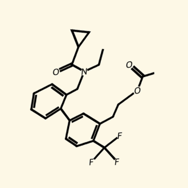 CCN(Cc1ccccc1-c1ccc(C(F)(F)F)c(CCOC(C)=O)c1)C(=O)C1CC1